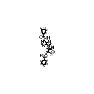 O=C(Nc1ncnc2c1ncn2[C@@H]1O[C@@]2(COC(=O)c3ccccc3)CO[C@H]1C2I)c1ccccc1